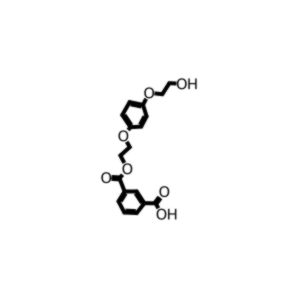 O=C(O)c1cccc(C(=O)OCCOc2ccc(OCCO)cc2)c1